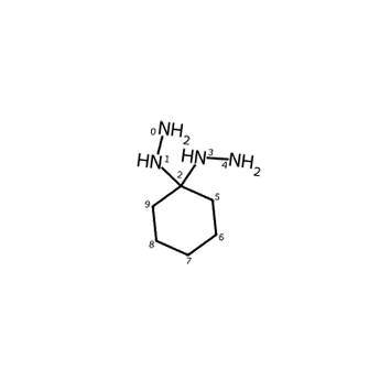 NNC1(NN)CCCCC1